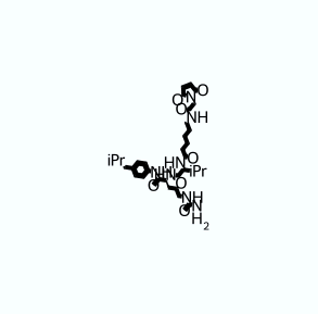 CC(C)Cc1ccc(NC(=O)[C@H](CCCNC(N)=O)NC(=O)C(NC(=O)CCCCCNC(=O)CN2C(=O)C=CC2=O)C(C)C)cc1